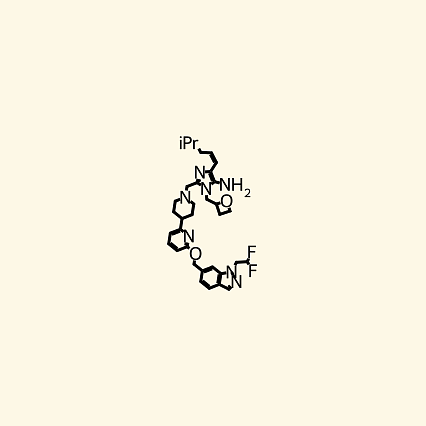 CC(C)C/C=C\c1nc(CN2CCC(c3cccc(OCc4ccc5cnn(CC(F)F)c5c4)n3)CC2)n(CC2CCO2)c1N